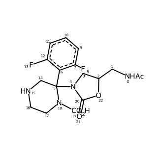 CC(=O)NCC1CN(C2(c3c(F)cccc3F)CNCCN2C(=O)O)C(=O)O1